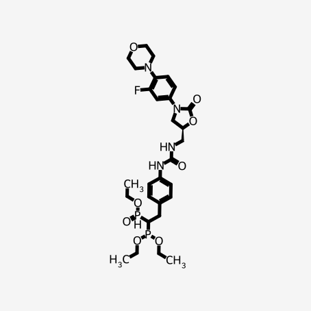 CCOP(OCC)C(Cc1ccc(NC(=O)NC[C@H]2CN(c3ccc(N4CCOCC4)c(F)c3)C(=O)O2)cc1)[PH](=O)OCC